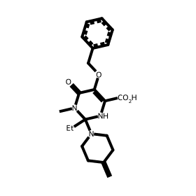 C=C1CCN(C2(CC)NC(C(=O)O)=C(OCc3ccccc3)C(=O)N2C)CC1